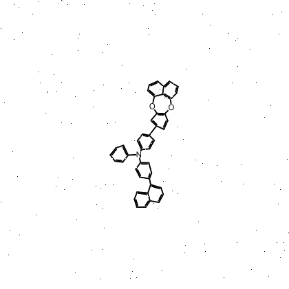 c1ccc(N(c2ccc(-c3ccc4c(c3)Oc3cccc5cccc(c35)O4)cc2)c2ccc(-c3cccc4ccccc34)cc2)cc1